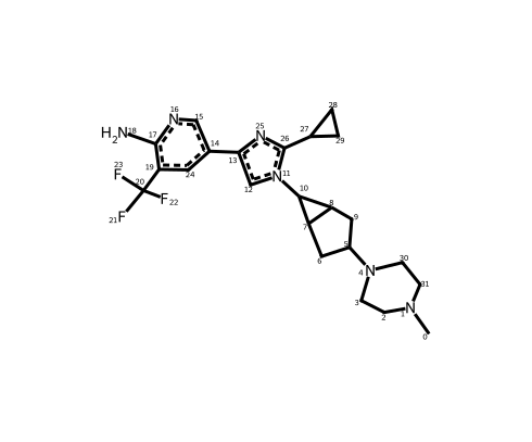 CN1CCN(C2CC3C(C2)C3n2cc(-c3cnc(N)c(C(F)(F)F)c3)nc2C2CC2)CC1